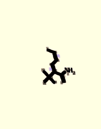 C=C(N)/C(=C\C=C/C)C(C)(C)C